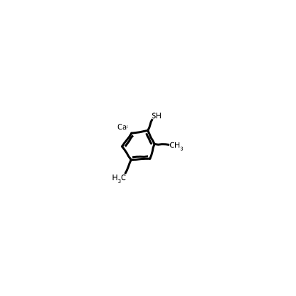 Cc1ccc(S)c(C)c1.[Ca]